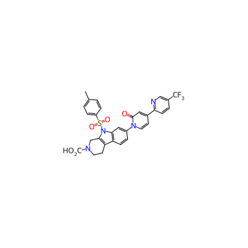 Cc1ccc(S(=O)(=O)n2c3c(c4ccc(-n5ccc(-c6ccc(C(F)(F)F)cn6)cc5=O)cc42)CCN(C(=O)O)C3)cc1